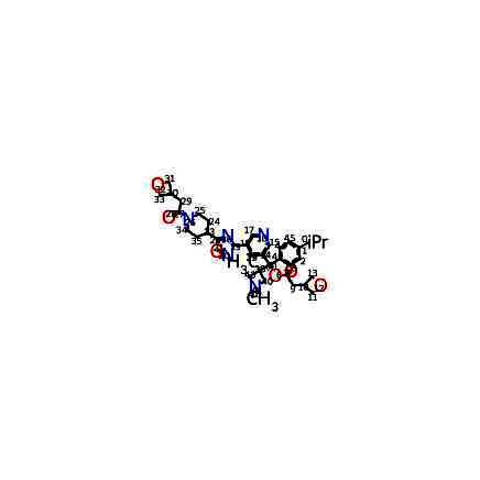 CC(C)c1ccc([C@](OC(=O)CC2COC2)(c2cncc(-c3noc(C4CCN(C(=O)CC5COC5)CC4)n3)c2)C2(C)CN(C)C2)cc1